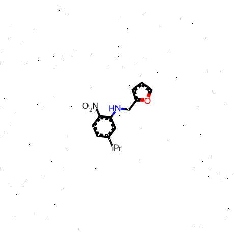 CC(C)c1ccc([N+](=O)[O-])c(NCc2ccco2)c1